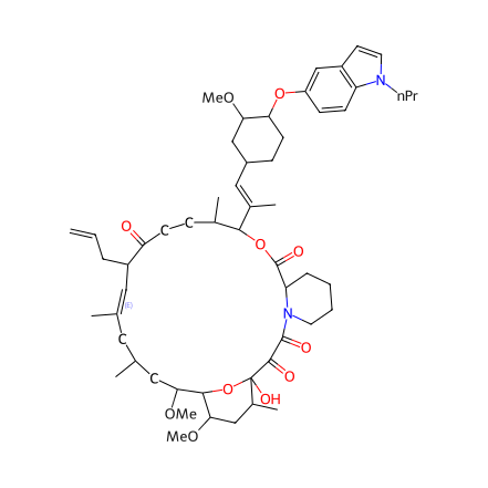 C=CCC1/C=C(\C)CC(C)CC(OC)C2OC(O)(C(=O)C(=O)N3CCCCC3C(=O)OC(C(C)=CC3CCC(Oc4ccc5c(ccn5CCC)c4)C(OC)C3)C(C)CCC1=O)C(C)CC2OC